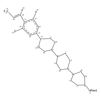 CCCCCC1CCC(C2CCC(C3CCC(c4cc(F)c(/C(F)=C/C(F)(F)F)c(F)c4)OC3)CC2)CC1